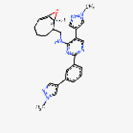 Cn1cc(-c2cccc(-c3ncc(-c4cnn(C)c4)c(NCC4CCCC=C5O[C@H]54)n3)c2)cn1